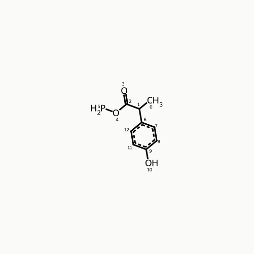 CC(C(=O)OP)c1ccc(O)cc1